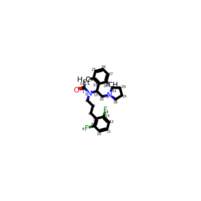 CCC(=O)N(CCCc1c(F)cccc1F)C(CN1CCCC1)c1c(C)cccc1C